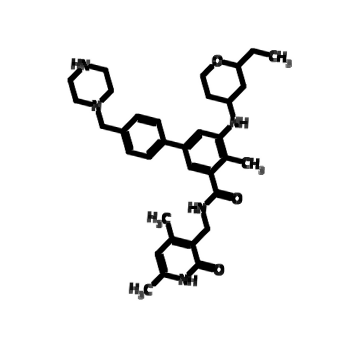 CCC1CC(Nc2cc(-c3ccc(CN4CCNCC4)cc3)cc(C(=O)NCc3c(C)cc(C)[nH]c3=O)c2C)CCO1